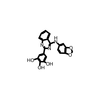 Oc1cc(-c2nc(Nc3ccc4c(c3)OCO4)c3ccccc3n2)cc(O)c1O